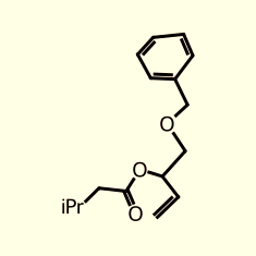 C=CC(COCc1ccccc1)OC(=O)CC(C)C